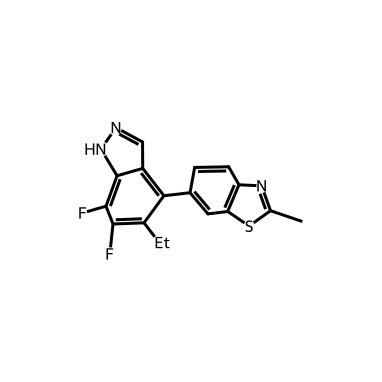 CCc1c(F)c(F)c2[nH]ncc2c1-c1ccc2nc(C)sc2c1